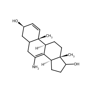 C[C@]12C=C[C@H](O)CC1CC(N)=C1[C@@H]2CC[C@]2(C)C(O)CC[C@@H]12